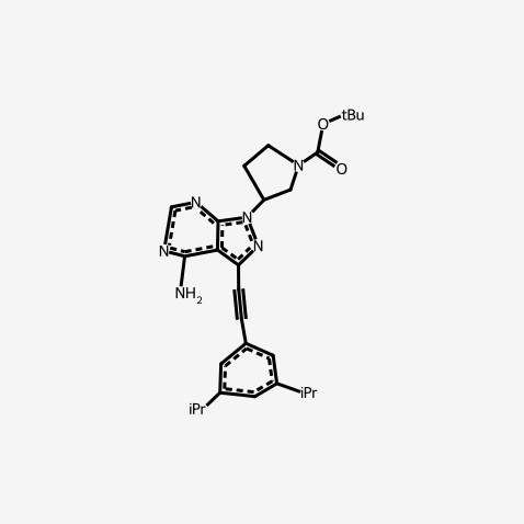 CC(C)c1cc(C#Cc2nn(C3CCN(C(=O)OC(C)(C)C)C3)c3ncnc(N)c23)cc(C(C)C)c1